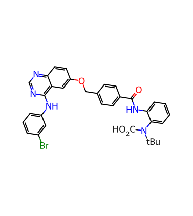 CC(C)(C)N(C(=O)O)c1ccccc1NC(=O)c1ccc(COc2ccc3ncnc(Nc4cccc(Br)c4)c3c2)cc1